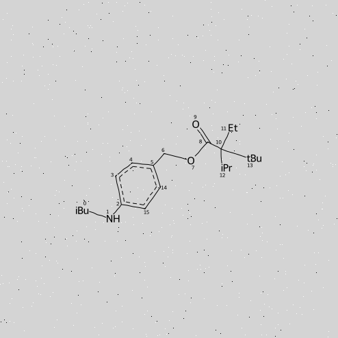 CCC(C)Nc1ccc(COC(=O)C(CC)(C(C)C)C(C)(C)C)cc1